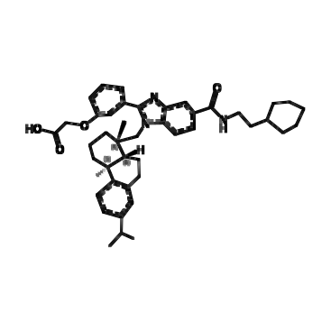 CC(C)c1ccc2c(c1)CC[C@H]1[C@@](C)(Cn3c(-c4cccc(OCC(=O)O)c4)nc4cc(C(=O)NCCC5CCCCC5)ccc43)CCC[C@]21C